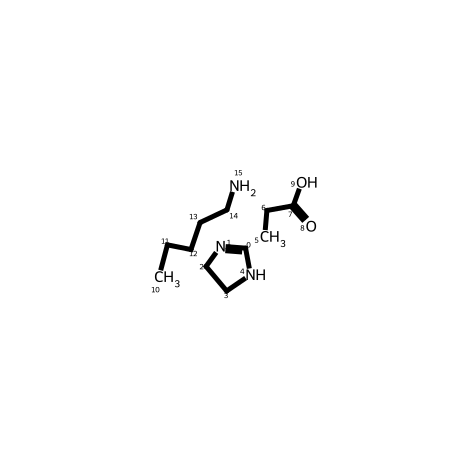 C1=NCCN1.CCC(=O)O.CCCCCN